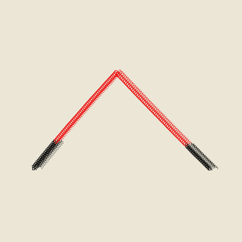 [Bi+3].[Bi+3].[Bi+3].[Bi+3].[Bi+3].[Bi+3].[Bi+3].[Bi+3].[Bi+3].[Bi+3].[Bi+3].[Bi+3].[Bi+3].[Bi+3].[Bi+3].[Bi+3].[Bi+3].[Bi+3].[Bi+3].[Bi+3].[Bi+3].[Bi+3].[Bi+3].[Bi+3].[Bi+3].[Bi+3].[Bi+3].[Bi+3].[Bi+3].[Bi+3].[Bi+3].[Bi+3].[Bi+3].[Bi+3].[Bi+3].[O-2].[O-2].[O-2].[O-2].[O-2].[O-2].[O-2].[O-2].[O-2].[O-2].[O-2].[O-2].[O-2].[O-2].[O-2].[O-2].[O-2].[O-2].[O-2].[O-2].[O-2].[O-2].[O-2].[O-2].[O-2].[O-2].[O-2].[O-2].[O-2].[O-2].[O-2].[O-2].[O-2].[O-2].[O-2].[O-2].[O-2].[O-2].[O-2].[O-2].[O-2].[O-2].[O-2].[O-2].[O-2].[O-2].[O-2].[O-2].[O-2].[O-2].[O-2].[O-2].[O-2].[O-2].[O-2].[O-2].[O-2].[O-2].[O-2].[O-2].[O-2].[O-2].[O-2].[O-2].[O-2].[O-2].[O-2].[O-2].[O-2].[O-2].[O-2].[O-2].[O-2].[O-2].[O-2].[O-2].[O-2].[O-2].[O-2].[O-2].[O-2].[O-2].[O-2].[O-2].[O-2].[O-2].[O-2].[O-2].[O-2].[O-2].[O-2].[O-2].[O-2].[O-2].[O-2].[O-2].[O-2]